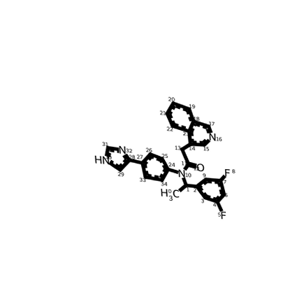 CC(c1cc(F)cc(F)c1)N(C(=O)Cc1cncc2ccccc12)c1ccc(-c2c[nH]cn2)cc1